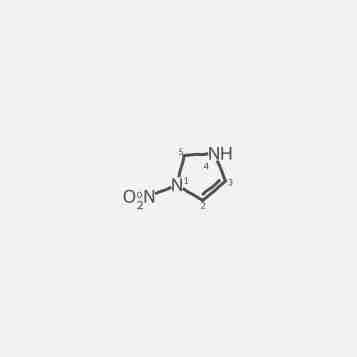 O=[N+]([O-])N1C=CNC1